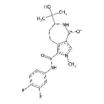 Cn1cc2c(c1C(=O)Nc1ccc(F)c(F)c1)CCC(C(C)(C)O)N[S+]2[O-]